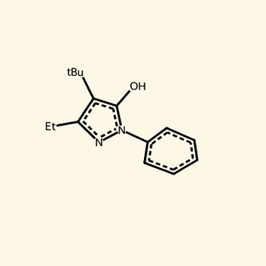 CCc1nn(-c2ccccc2)c(O)c1C(C)(C)C